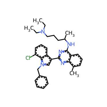 CCN(CC)CCCC(C)Nc1nc(-c2cn(Cc3ccccc3)c3c(Cl)cccc23)nc2c(C)cccc12